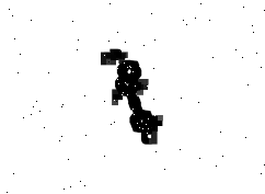 CCCC1CCc2c(cc(F)c(C#Cc3ccc(Cl)c(F)c3)c2F)C1